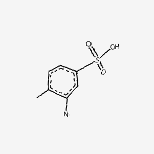 Cc1ccc(S(=O)(=O)O)cc1[N]